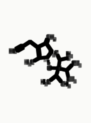 C#CCC1=C(C)[C@@H](O[Si](C(C)C)(C(C)C)C(C)C)CC1=C